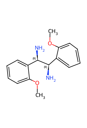 COc1ccccc1[C@@H](N)[C@H](N)c1ccccc1OC